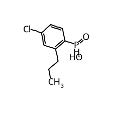 CCCc1cc(Cl)ccc1[PH](=O)O